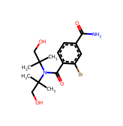 CC(C)(CO)N(C(=O)c1ccc(C(N)=O)cc1Br)C(C)(C)CO